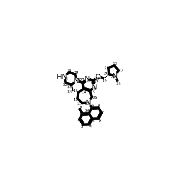 Cc1cccc2cccc(N3CCCc4c(nc(OC[C@@H]5CCCN5C)nc4N4CCNC[C@@H]4C)C3)c12